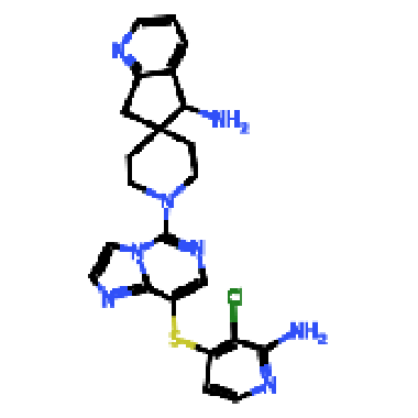 Nc1nccc(Sc2cnc(N3CCC4(CC3)Cc3ncccc3C4N)n3ccnc23)c1Cl